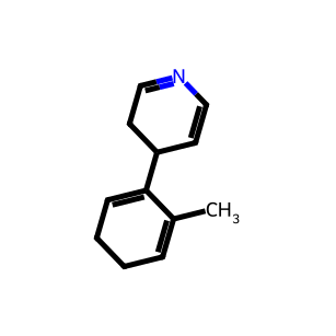 CC1=CCCC=C1C1C=CN=CC1